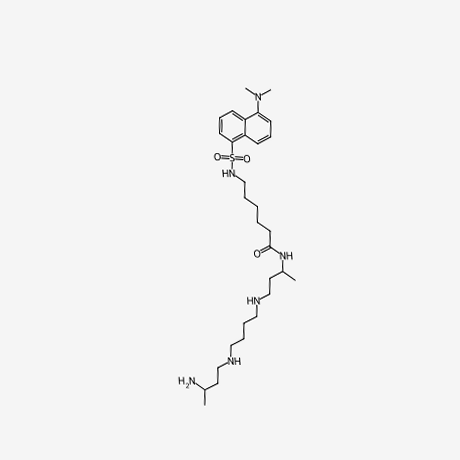 CC(N)CCNCCCCNCCC(C)NC(=O)CCCCCNS(=O)(=O)c1cccc2c(N(C)C)cccc12